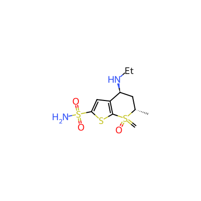 C=S1(=O)c2sc(S(N)(=O)=O)cc2[C@@H](NCC)C[C@@H]1C